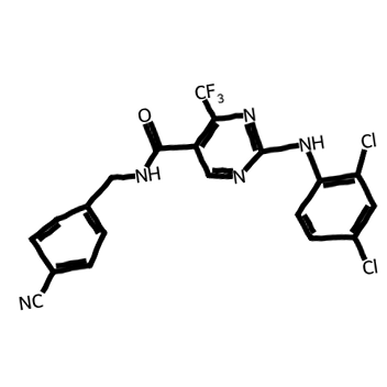 N#Cc1ccc(CNC(=O)c2cnc(Nc3ccc(Cl)cc3Cl)nc2C(F)(F)F)cc1